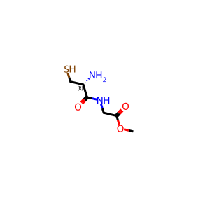 COC(=O)CNC(=O)[C@@H](N)CS